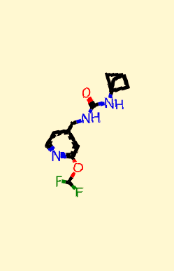 O=C(NCc1ccnc(OC(F)F)c1)NC12CC(C1)C2